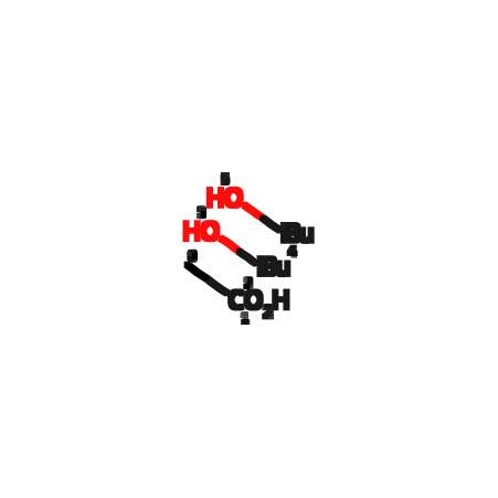 CC(=O)O.CCC(C)O.CCC(C)O